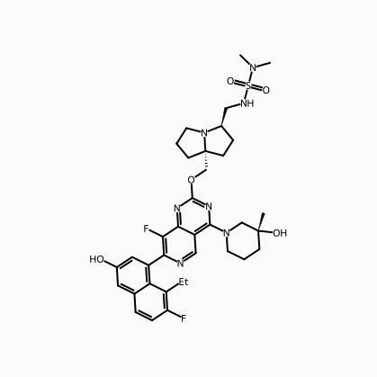 CCc1c(F)ccc2cc(O)cc(-c3ncc4c(N5CCC[C@@](C)(O)C5)nc(OC[C@]56CCCN5[C@@H](CNS(=O)(=O)N(C)C)CC6)nc4c3F)c12